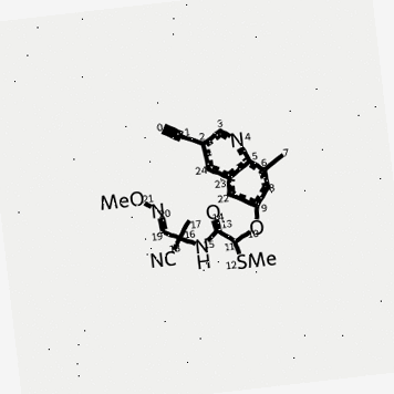 C#Cc1cnc2c(C)cc(OC(SC)C(=O)NC(C)(C#N)C=NOC)cc2c1